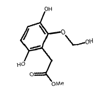 COC(=O)Cc1c(O)ccc(O)c1OCO